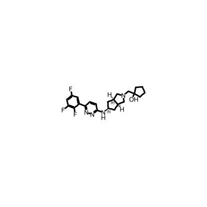 OC1(CN2C[C@H]3C[C@@H](Nc4ccc(-c5cc(F)cc(F)c5F)nn4)C[C@H]3C2)CCCC1